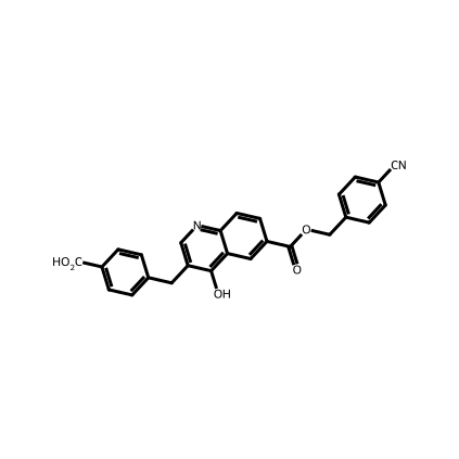 N#Cc1ccc(COC(=O)c2ccc3ncc(Cc4ccc(C(=O)O)cc4)c(O)c3c2)cc1